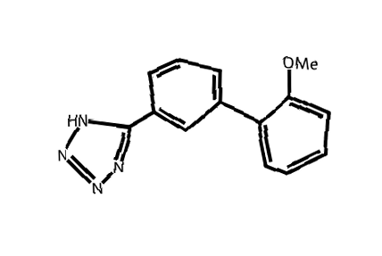 COc1ccccc1-c1cccc(-c2nnn[nH]2)c1